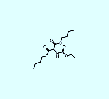 CCCCOC(=O)C(NC(=O)OCC)C(=O)OCCCC